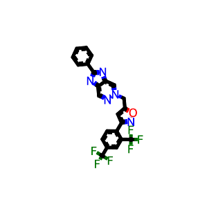 FC(F)(F)c1ccc(-c2cc(Cn3cc4nc(-c5ccccc5)nc-4cn3)on2)c(C(F)(F)F)c1